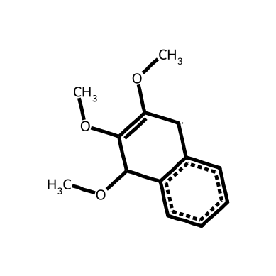 COC1=C(OC)C(OC)c2ccccc2[CH]1